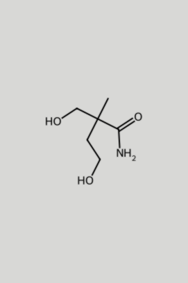 CC(CO)(CCO)C(N)=O